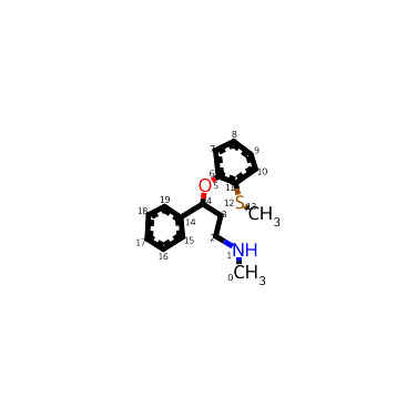 CNCCC(Oc1ccccc1SC)c1ccccc1